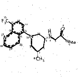 CNC(=O)CN[C@@H]1C[C@H](C)CN(c2ccc(C(F)(F)F)c3ncccc23)C1